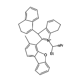 CCCC(CC)[N+]1=C(c2c(C)ccc3c2oc2ccccc23)C(C2=CCCc3ccccc32)C2=C1CCC=C2